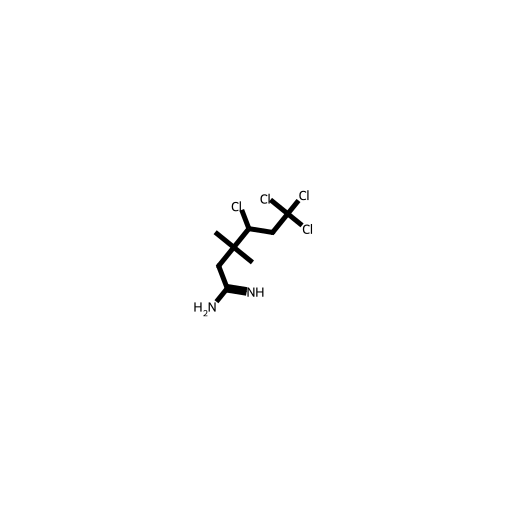 CC(C)(CC(=N)N)C(Cl)CC(Cl)(Cl)Cl